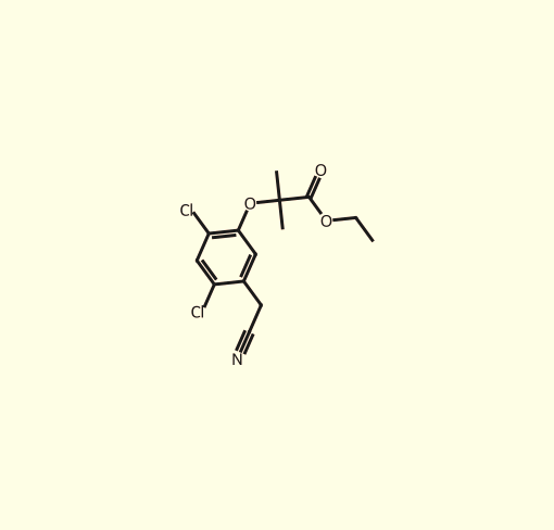 CCOC(=O)C(C)(C)Oc1cc(CC#N)c(Cl)cc1Cl